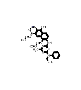 [2H]/N=N\c1c(SOOO)cc2c(SOOO)c(Nc3nc(C)nc(N(CC)c4ccccc4)n3)ccc2c1O